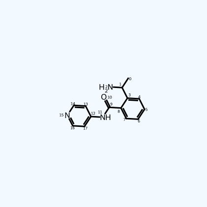 CC(N)c1ccccc1C(=O)Nc1ccncc1